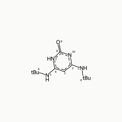 CC(C)(C)Nc1cc(NC(C)(C)C)[nH]c(=O)n1